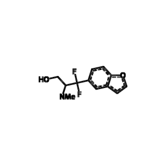 CNC(CO)C(F)(F)c1ccc2occc2c1